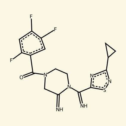 N=C1CN(C(=O)c2cc(F)c(F)cc2F)CCN1C(=N)c1nc(C2CC2)ns1